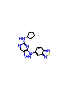 C[C@H]1CC[C@@H](Nc2ncc3nnn(-c4ccc5nsnc5c4)c3n2)C1